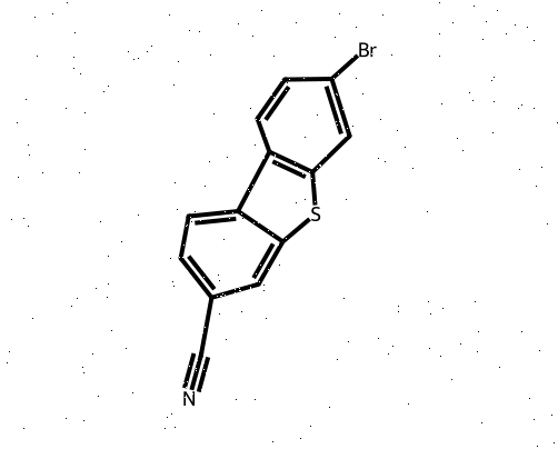 N#Cc1ccc2c(c1)sc1cc(Br)ccc12